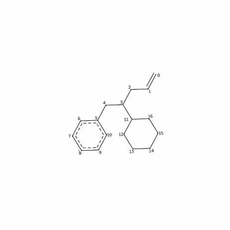 C=CCC(Cc1cc[c]cc1)C1CCCCC1